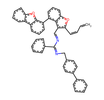 C=C/C=C\c1oc2cccc(-c3cccc4c3oc3ccccc34)c2c1/C=N/C(=N\Cc1ccc(-c2ccccc2)cc1)c1ccccc1